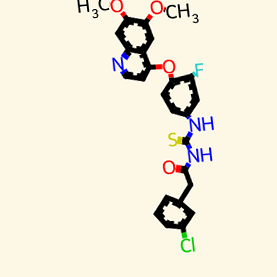 COc1cc2nccc(Oc3ccc(NC(=S)NC(=O)Cc4cccc(Cl)c4)cc3F)c2cc1OC